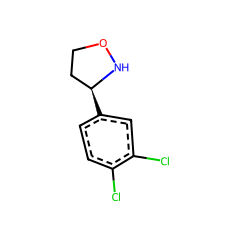 Clc1ccc([C@H]2CCON2)cc1Cl